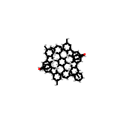 Cc1ccc2c(c1)c1cc(C)ccc1n2-c1c(-c2cccc(C)n2)c(-n2c3ccc(C)cc3c3cc(C)ccc32)c(-n2c3ccc(C)cc3c3cc(C)ccc32)c(-c2cccc(-c3ccccc3)n2)c1-n1c2ccc(C)cc2c2cc(C)ccc21